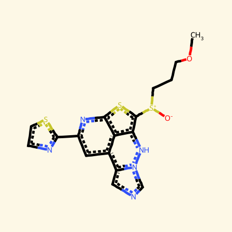 COCCC[S+]([O-])c1sc2nc(-c3nccs3)cc3c2c1[nH]n1cncc31